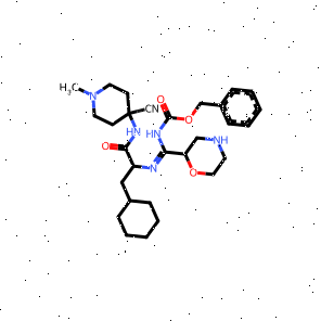 CN1CCC(C#N)(NC(=O)C(CC2CCCCC2)N=C(NC(=O)OCc2ccccc2)C2CNCCO2)CC1